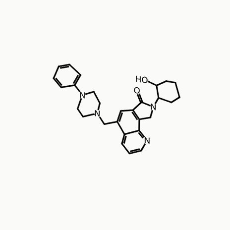 O=C1c2cc(CN3CCN(c4ccccc4)CC3)c3cccnc3c2CN1C1CCCCC1O